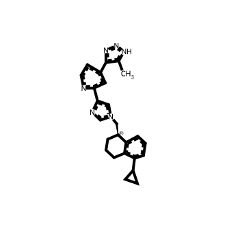 Cc1[nH]nnc1-c1ccnc(-c2cn(C[C@@H]3CCCc4c(C5CC5)cccc43)cn2)c1